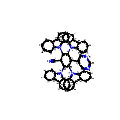 N#Cc1c(-n2c3ccccc3c3ccccc32)c(-n2c3ccccc3c3ccccc32)c(-c2cncnc2)c(-n2c3ccccc3c3ccccc32)c1-n1c2ccccc2c2ccccc21